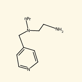 CCCN(CCN)Cc1ccncc1